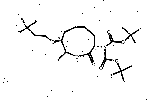 CC1OC(=O)[C@@H](N(C(=O)OC(C)(C)C)C(=O)OC(C)(C)C)CCCC[C@@H]1OCCC(C)(F)F